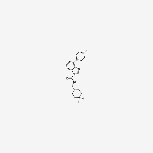 CN1CCN(c2cccc3c2ncn3C(=O)NCC2CCC(F)(F)CC2)CC1